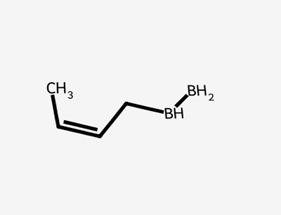 BBC/C=C\C